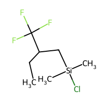 CCC(C[Si](C)(C)Cl)C(F)(F)F